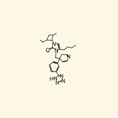 CCCCc1cn(C2C(C)CC2CC)c(=O)n1CC1(c2cccc(-c3nnn[nH]3)c2)C=CN=CC1